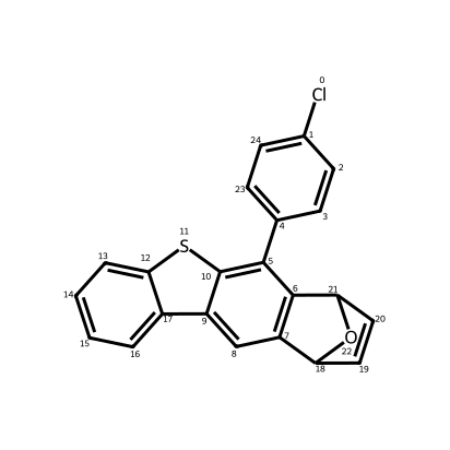 Clc1ccc(-c2c3c(cc4c2sc2ccccc24)C2C=CC3O2)cc1